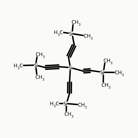 C[Si](C)(C)C#C[Si](C#C[Si](C)(C)C)(C#C[Si](C)(C)C)C#C[Si](C)(C)C